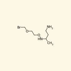 CC(CCN)NOCCOCBr